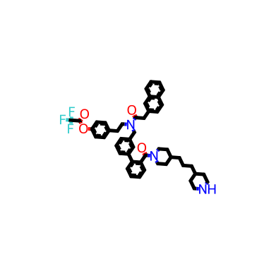 O=C(Cc1ccc2ccccc2c1)N(CCc1ccc(OC(=O)C(F)(F)F)cc1)Cc1cccc(-c2ccccc2C(=O)N2CCC(CCCC3CCNCC3)CC2)c1